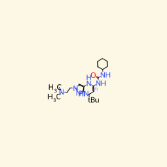 CN(C)CCn1cc(N/C(=C\C(=N)C(C)(C)C)NC(=O)NC2CCCCC2)cn1